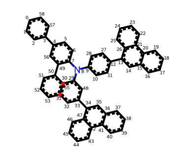 c1ccc(-c2ccc(N(c3ccc(-c4cc5ccccc5c5ccccc45)cc3)c3cccc(-c4cc5ccccc5c5ccccc45)c3)c(-c3ccccc3)c2)cc1